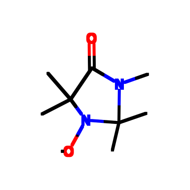 CN1C(=O)C(C)(C)N([O])C1(C)C